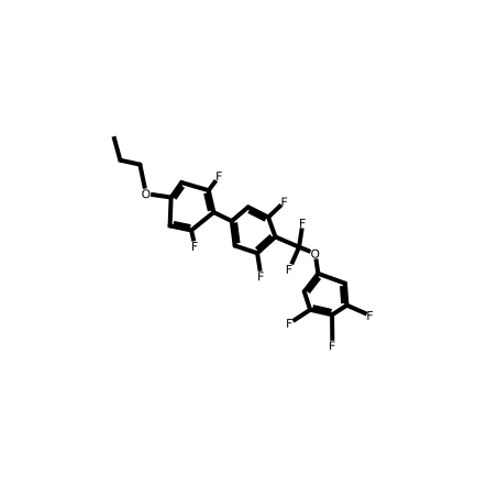 CCCOc1cc(F)c(-c2cc(F)c(C(F)(F)Oc3cc(F)c(F)c(F)c3)c(F)c2)c(F)c1